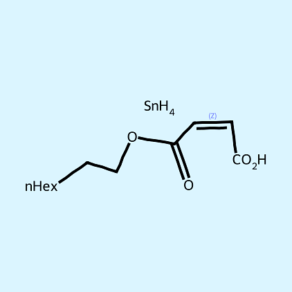 CCCCCCCCOC(=O)/C=C\C(=O)O.[SnH4]